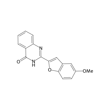 COc1ccc2oc(-c3nc4ccccc4c(=O)[nH]3)cc2c1